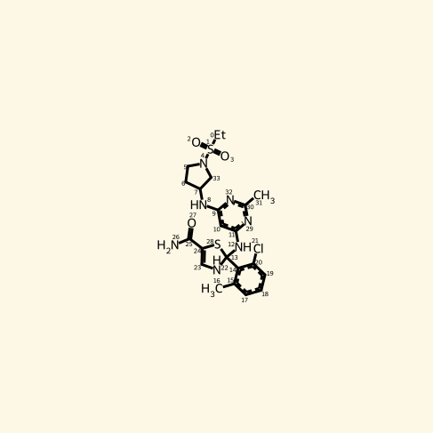 CCS(=O)(=O)N1CCC(Nc2cc(NC3(c4c(C)cccc4Cl)NC=C(C(N)=O)S3)nc(C)n2)C1